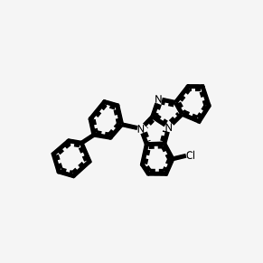 Clc1cccc2c1n1c3ccccc3nc1n2-c1cccc(-c2ccccc2)c1